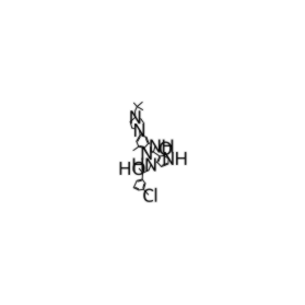 Cc1cc(N2CCN(CC(C)(C)C)CC2)cc2[nH]c(-c3c(NCC(O)c4cccc(Cl)c4)cc[nH]c3=O)nc12